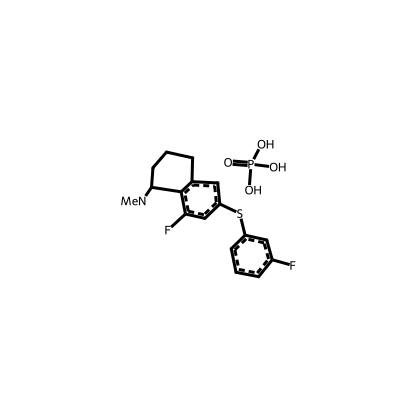 CNC1CCCc2cc(Sc3cccc(F)c3)cc(F)c21.O=P(O)(O)O